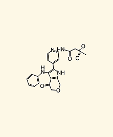 CS(=O)(=O)CC(=O)Nc1cc(-c2[nH]c3c(c2Nc2ccccc2)C(=O)COC3)ccn1